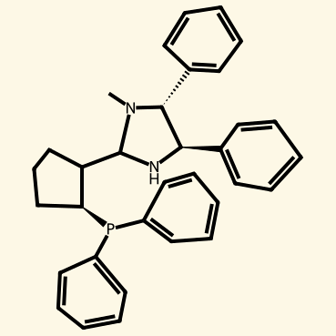 CN1C(C2CCC[C@@H]2P(c2ccccc2)c2ccccc2)N[C@H](c2ccccc2)[C@H]1c1ccccc1